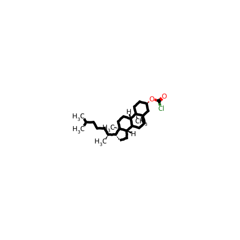 CC(C)CCC[C@@H](C)[C@H]1CC[C@H]2C3CC=C4C[C@@H](OC(=O)Cl)CC[C@]4(C)[C@H]3CC[C@]12C